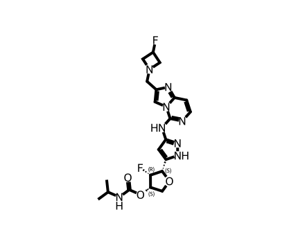 CC(C)NC(=O)O[C@H]1CO[C@@H](c2cc(Nc3nccc4nc(CN5CC(F)C5)cn34)n[nH]2)[C@H]1F